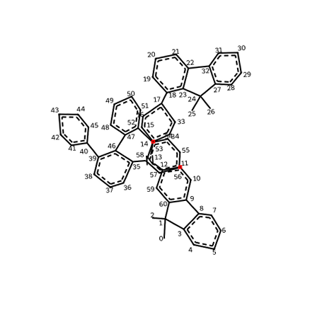 CC1(C)c2ccccc2-c2ccc(N(c3ccc(-c4cccc5c4C(C)(C)c4ccccc4-5)cc3)c3cccc(-c4ccccc4)c3-c3ccccc3-c3ccccc3)cc21